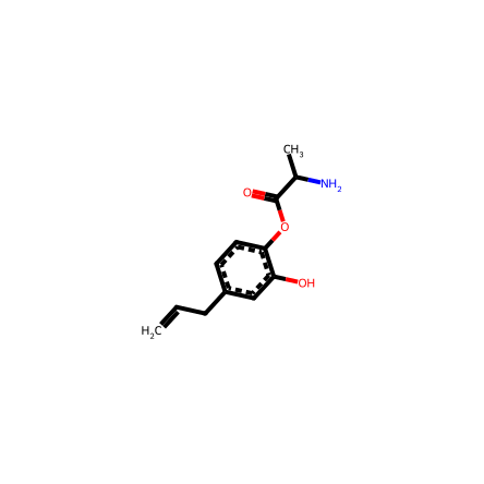 C=CCc1ccc(OC(=O)C(C)N)c(O)c1